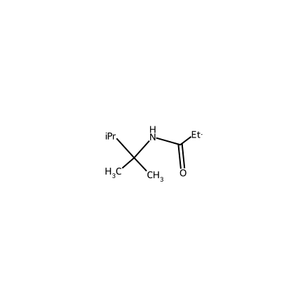 C[CH]C(=O)NC(C)(C)C(C)C